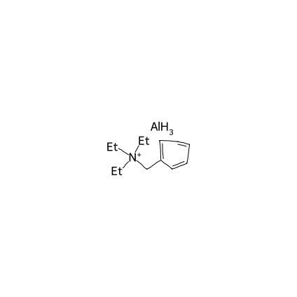 CC[N+](CC)(CC)Cc1ccccc1.[AlH3]